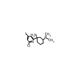 CN(C)C1CCCC(N)(c2cc(I)cc(Cl)n2)C1